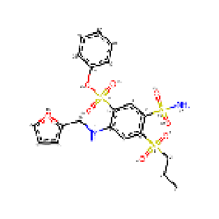 CCCS(=O)(=O)c1cc(NCc2ccco2)c(S(=O)(=O)Oc2ccccc2)cc1S(N)(=O)=O